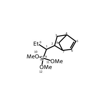 CCC(C1CC2C=CC1C2)[Si](OC)(OC)OC